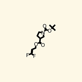 CC(C)(C)OC(=O)N1CCC(C(=O)OCC=C(F)F)C1